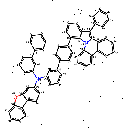 c1ccc(-c2cccc(N(c3cccc(-c4ccc(-c5cccc6c(-c7ccccc7)c7c8ccccc8c8ccccc8n7c56)cc4)c3)c3ccc4c(c3)oc3ccccc34)c2)cc1